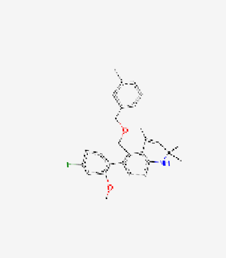 COc1cc(F)ccc1-c1ccc2c(c1COCc1cccc(C)c1)C(C)=CC(C)(C)N2